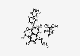 C[C@H]1COc2c(N3CC[C@](F)(CN)C3)c(F)cc3c(CN)cc(=O)n1c23.O=C(O)C(F)(F)F